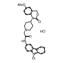 CCn1c2ccccc2c2cc(NC(=O)CN3CCC(N4C(=O)OCc5cc(OC)ccc54)CC3)ccc21.Cl